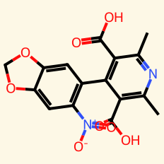 Cc1nc(C)c(C(=O)O)c(-c2cc3c(cc2[N+](=O)[O-])OCO3)c1C(=O)O